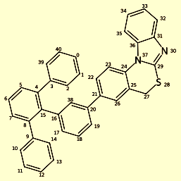 c1ccc(-c2cccc(-c3ccccc3)c2-c2cccc(-c3ccc4c(c3)CSc3nc5ccccc5n3-4)c2)cc1